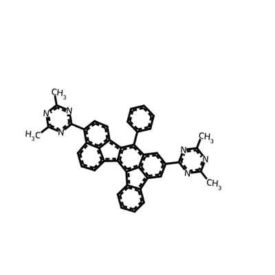 Cc1nc(C)nc(-c2cc3c(-c4ccccc4)c4c5ccc(-c6nc(C)nc(C)n6)c6cccc(c65)c4c4c5ccccc5c(c2)c34)n1